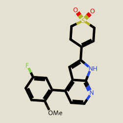 COc1ccc(F)cc1-c1ccnc2[nH]c(C3=CCS(=O)(=O)CC3)cc12